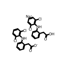 O=C(O)Cc1ccccc1Nc1c(Cl)cccc1Cl.O=C([O-])Cc1ccccc1Nc1c(Cl)cccc1Cl.[Na+]